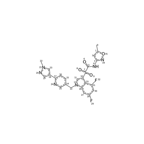 Cc1cc(NC(=O)S(=O)(=O)c2cn(Cc3ccc(-c4cnn(C)c4)nc3)c3cc(F)cc(F)c23)no1